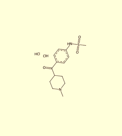 CN1CCC(C(=O)c2ccc(NS(C)(=O)=O)cc2)CC1.Cl.Cl